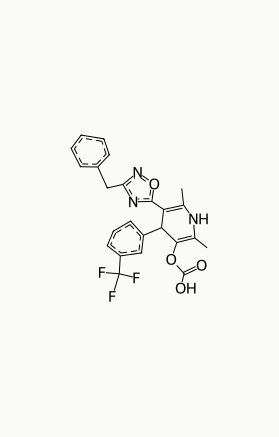 CC1=C(OC(=O)O)C(c2cccc(C(F)(F)F)c2)C(c2nc(Cc3ccccc3)no2)=C(C)N1